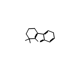 CC1(C)CCCC2=C1N=C1C=CCC=C12